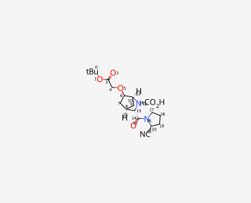 CC(C)(C)OC(=O)CO[C@@H]1C[C@H]2C[C@@H]1N(C(=O)O)[C@@H]2C(=O)N1CCC[C@H]1C#N